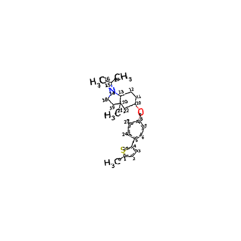 Cc1ccc(-c2ccc(OC3CCC4N(C(C)C)CCC4(C)C3)cc2)s1